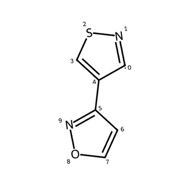 [c]1nscc1-c1ccon1